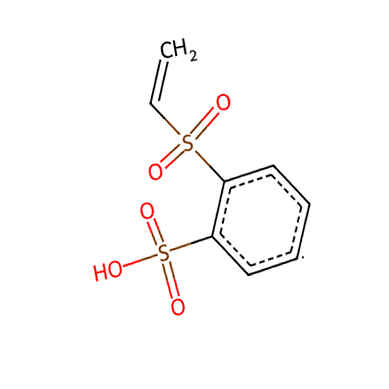 C=CS(=O)(=O)c1cc[c]cc1S(=O)(=O)O